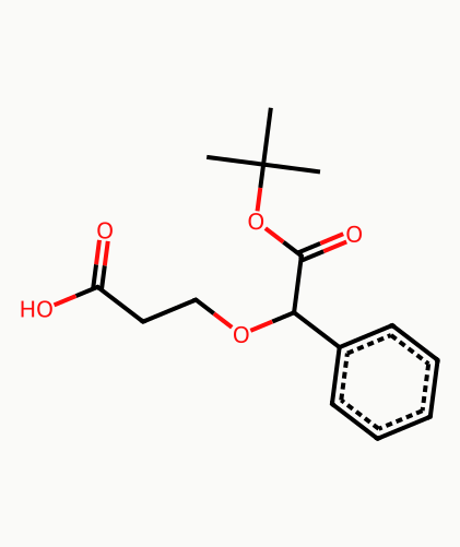 CC(C)(C)OC(=O)C(OCCC(=O)O)c1ccccc1